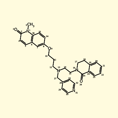 Cn1c(=O)ccc2cc(OCCCN(CCN3CCc4ccccc4C3=O)Cc3ccncc3)ccc21